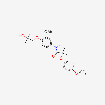 COc1cc(N2CCC(C)(Oc3ccc(OC(F)(F)F)cc3)C2=O)ccc1OCC(C)(C)O